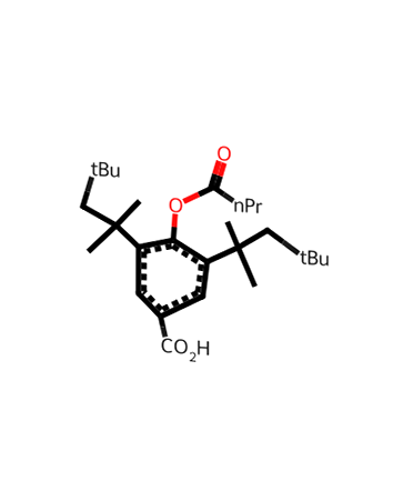 CCCC(=O)Oc1c(C(C)(C)CC(C)(C)C)cc(C(=O)O)cc1C(C)(C)CC(C)(C)C